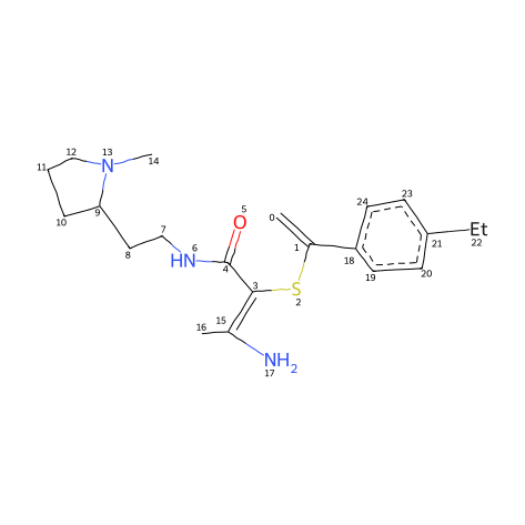 C=C(S/C(C(=O)NCCC1CCCN1C)=C(/C)N)c1ccc(CC)cc1